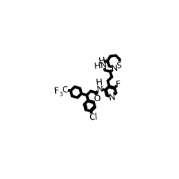 O=C(CC(c1ccc(Cl)cc1)C1CCC(C(F)(F)F)CC1)Nc1cncc(F)c1CCC1CN[C@@H]2CCCSN1C2